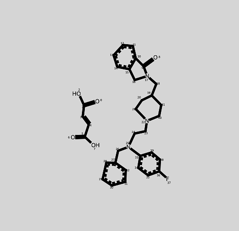 O=C(O)C=CC(=O)O.O=C1c2ccccc2CN1CC1CCN(CCN(Cc2ccccc2)c2ccc(F)cc2)CC1